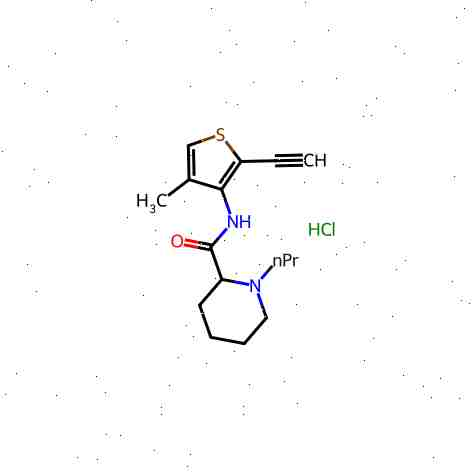 C#Cc1scc(C)c1NC(=O)C1CCCCN1CCC.Cl